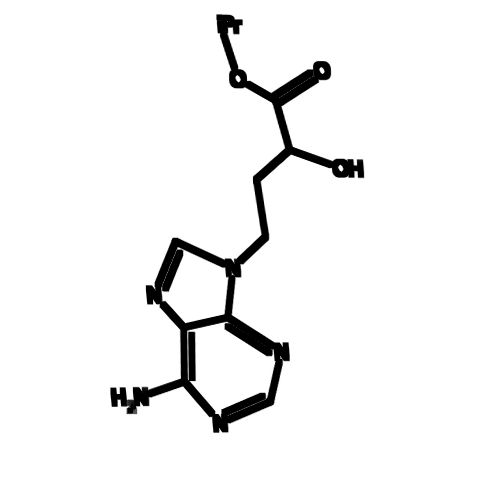 CC(C)OC(=O)C(O)CCn1cnc2c(N)ncnc21